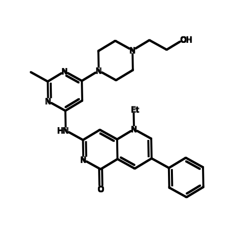 CCn1cc(-c2ccccc2)cc2c(=O)nc(Nc3cc(N4CCN(CCO)CC4)nc(C)n3)cc1-2